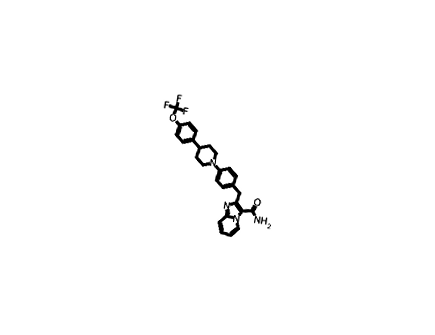 NC(=O)c1c(Cc2ccc(N3CCC(c4ccc(OC(F)(F)F)cc4)CC3)cc2)nc2ccccn12